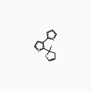 IC1(c2sccc2-c2cccs2)CC=CS1